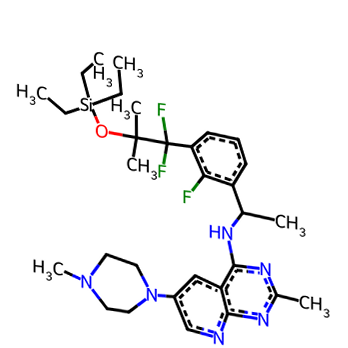 CC[Si](CC)(CC)OC(C)(C)C(F)(F)c1cccc(C(C)Nc2nc(C)nc3ncc(N4CCN(C)CC4)cc23)c1F